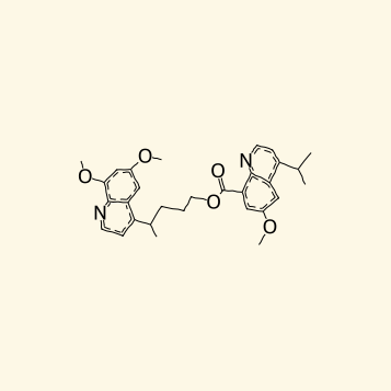 COc1cc(OC)c2nccc(C(C)CCCOC(=O)c3cc(OC)cc4c(C(C)C)ccnc34)c2c1